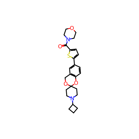 O=C(c1ccc(-c2ccc3c(c2)COC2(CCN(C4CCC4)CC2)O3)s1)N1CCOCC1